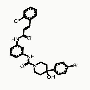 O=C(C=Cc1ccccc1Cl)Nc1cccc(NC(=O)N2CCC(O)(c3ccc(Br)cc3)CC2)c1